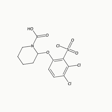 O=C(O)N1CCCCC1Oc1ccc(Cl)c(Cl)c1S(=O)(=O)Cl